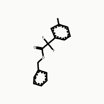 Cc1cccc(C(F)(F)C(=O)OCc2ccccc2)c1